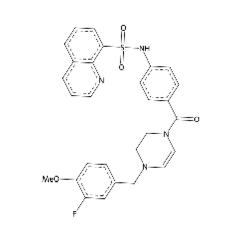 COc1ccc(CN2C=CN(C(=O)c3ccc(NS(=O)(=O)c4cccc5cccnc45)cc3)CC2)cc1F